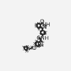 O=C(Nc1ccc(-c2n[nH]c(=O)c3ccccc23)cc1)c1cnn2cc(OCCN3CCCC3)ccc12